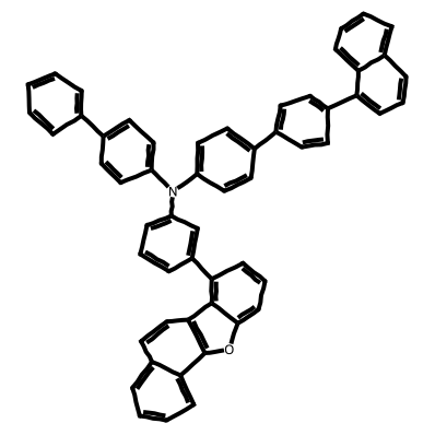 c1ccc(-c2ccc(N(c3ccc(-c4ccc(-c5cccc6ccccc56)cc4)cc3)c3cccc(-c4cccc5oc6c7ccccc7ccc6c45)c3)cc2)cc1